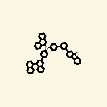 C1=CC2Oc3cc(-c4cccc(-c5ccc(N(c6ccc(-c7cc(-c8cccc9ccccc89)c8ccccc8c7)cc6)c6cc7ccccc7c7ccccc67)cc5)c4)ccc3C2C=C1